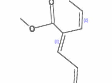 C=C/C=C(\C=C/C)C(=O)OC